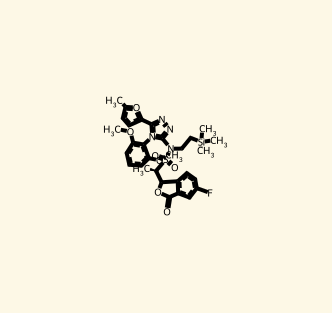 COc1cccc(OC)c1-n1c(-c2ccc(C)o2)nnc1N(CC[Si](C)(C)C)S(=O)(=O)[C@H](C)C1OC(=O)c2cc(F)ccc21